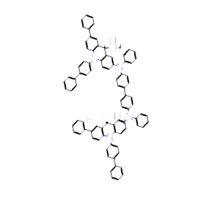 CC1(C)c2cc(-c3ccccc3)ccc2N(c2ccc(-c3ccccc3)cc2)c2ccc(N(c3ccccc3)c3ccc(-c4ccc(N(c5ccccc5)c5ccc6c(c5)C(C)(C)c5cc(-c7ccccc7)ccc5N6c5ccc(-c6ccccc6)cc5)cc4)cc3)cc21